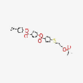 C=C(C)C(=O)OCCCCSc1ccc(C(=O)Oc2ccc(C(=O)Oc3ccc(C4CC4)cc3)cc2)cc1